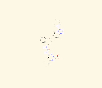 CC(C)(C)c1cc(NC(=O)NC2CCC(Oc3ccc4nnc(N5CCCCC5)n4c3)c3ccccc32)nc(C(=O)O)n1